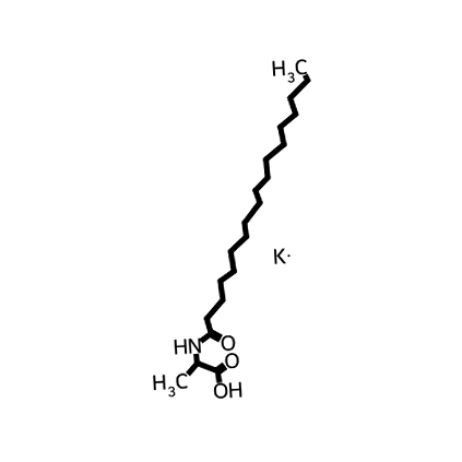 CCCCCCCCCCCCCCCCCC(=O)NC(C)C(=O)O.[K]